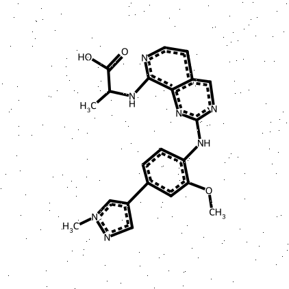 COc1cc(-c2cnn(C)c2)ccc1Nc1ncc2ccnc(NC(C)C(=O)O)c2n1